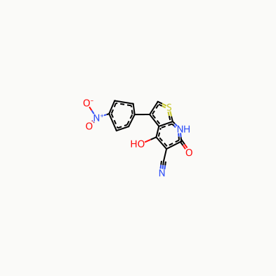 N#Cc1c(O)c2c(-c3ccc([N+](=O)[O-])cc3)csc2[nH]c1=O